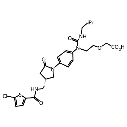 CC(C)CNC(=O)N(CCOCC(=O)O)c1ccc(N2C[C@H](CNC(=O)c3ccc(Cl)s3)CC2=O)cc1